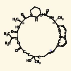 CC(C)[C@@H]1OC(=O)CCC(C)(O)CC/C=C/c2ccc3ccc(nc3c2)[C@@H](C)NC(=O)[C@@H]2CCCN(N2)C(=O)[C@H](C)NC1=O